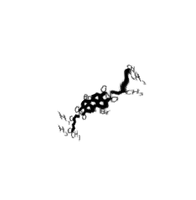 CC(C)=CCC[C@H](C)CCN1C(=O)c2ccc3c4c(Br)cc5c6c(ccc(c7c(Br)cc(c2c37)C1=O)c64)C(=O)N(CC[C@@H](C)CCC=C(C)C)C5=O